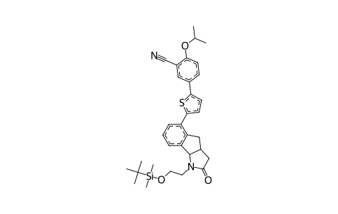 CC(C)Oc1ccc(-c2ccc(-c3cccc4c3CC3CC(=O)N(CCO[Si](C)(C)C(C)(C)C)C43)s2)cc1C#N